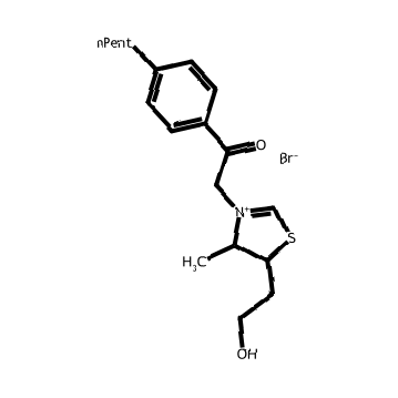 CCCCCc1ccc(C(=O)C[N+]2=CSC(CCO)C2C)cc1.[Br-]